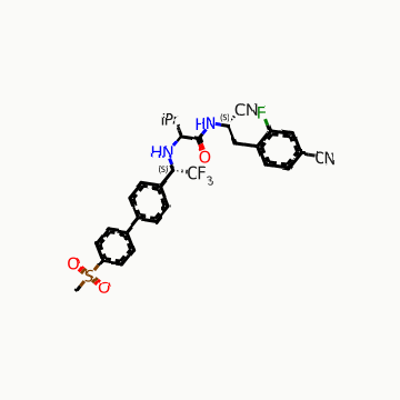 CC(C)C(N[C@@H](c1ccc(-c2ccc(S(C)(=O)=O)cc2)cc1)C(F)(F)F)C(=O)N[C@H](C#N)Cc1ccc(C#N)cc1F